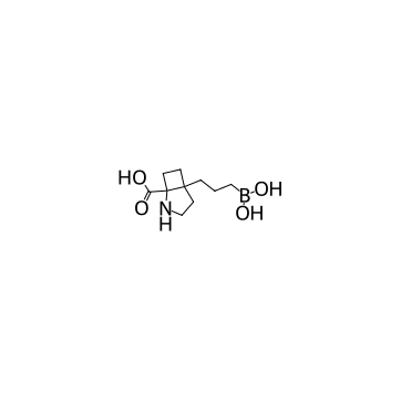 O=C(O)C12CCC1(CCCB(O)O)CCN2